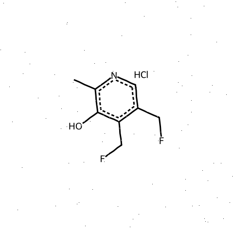 Cc1ncc(CF)c(CF)c1O.Cl